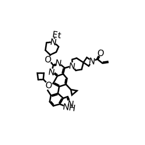 C=CC(=O)N1CC2(CCN(c3nc(OC4CCN(CC)CC4)nc4c(OC5CCC5)c(-c5c(C)ccc6[nH]ncc56)c(C5CC5)cc34)CC2)C1